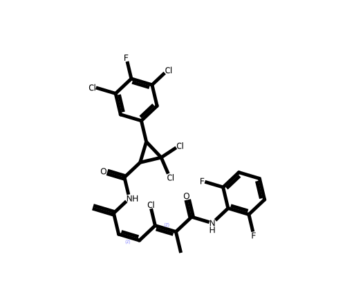 C=C(/C=C\C(Cl)=C(/C)C(=O)Nc1c(F)cccc1F)NC(=O)C1C(c2cc(Cl)c(F)c(Cl)c2)C1(Cl)Cl